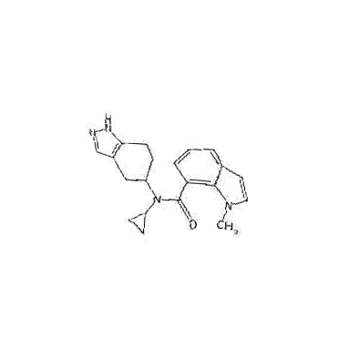 Cn1ccc2cccc(C(=O)N(C3CC3)C3CCc4[nH]ncc4C3)c21